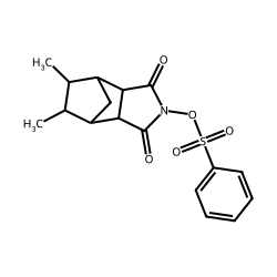 CC1C(C)C2CC1C1C(=O)N(OS(=O)(=O)c3ccccc3)C(=O)C21